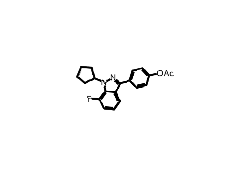 CC(=O)Oc1ccc(-c2nn(C3CCCC3)c3c(F)cccc23)cc1